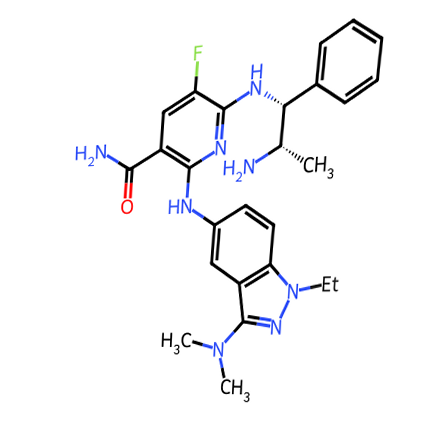 CCn1nc(N(C)C)c2cc(Nc3nc(N[C@H](c4ccccc4)[C@H](C)N)c(F)cc3C(N)=O)ccc21